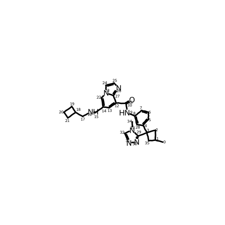 CC1CC(c2cccc(NC(=O)c3cc(CNCC4CCC4)cn4ccnc34)c2)(c2nncn2C)C1